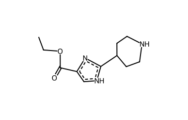 CCOC(=O)c1c[nH]c(C2CCNCC2)n1